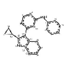 c1ccc(Nc2nccc(-c3c(C4CC4)nn4ncccc34)n2)cc1